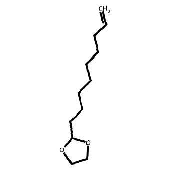 C=CCCCCCCCC1OCCO1